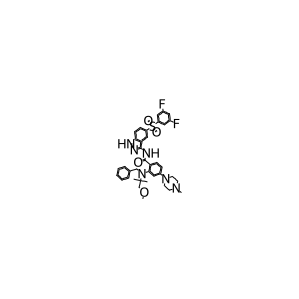 COCC(C)(C)N(Cc1ccccc1)c1cc(N2CCN(C)CC2)ccc1C(=O)Nc1n[nH]c2ccc(S(=O)(=O)c3cc(F)cc(F)c3)cc12